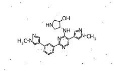 Cn1cc(-c2cccc(-c3ncc(-c4cnn(C)c4)c(N[C@@H]4CNC[C@H]4O)n3)c2)cn1